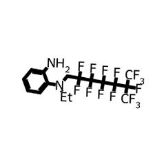 CCN(CC(F)(F)C(F)(F)C(F)(F)C(F)(F)C(F)(C(F)(F)F)C(F)(F)F)c1ccccc1N